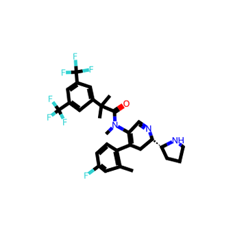 Cc1cc(F)ccc1C1=C(N(C)C(=O)C(C)(C)c2cc(C(F)(F)F)cc(C(F)(F)F)c2)C=NC([C@H]2CCCN2)C1